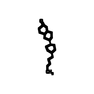 CCCCC[C@H]1CC[C@H](C2CCC3CC(=O)CCC3C2)CC1